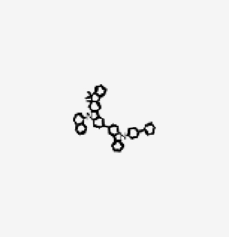 CC12Cc3c(c4cc(-c5ccc6c(c5)c5ccccc5n6-c5ccc(-c6ccccc6)cc5)ccc4n3-c3cccc4ccccc34)C=C1c1ccccc1C2(C)C